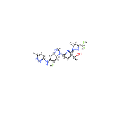 Cc1ccc(Nc2cc3ncn(-c4ccc([C@H](C)O)c(-n5nc(C(F)F)cc5C)n4)c3cc2F)nn1